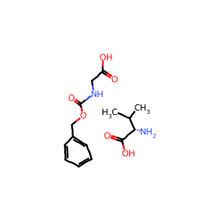 CC(C)[C@H](N)C(=O)O.O=C(O)CNC(=O)OCc1ccccc1